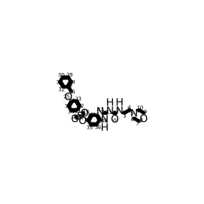 O=C(NCCN1CCOCC1)Nc1nc2cc(OS(=O)(=O)c3ccc(OCc4ccccc4)cc3)ccc2[nH]1